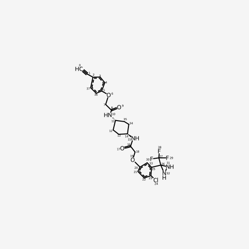 C#Cc1ccc(OCC(=O)N[C@H]2CC[C@H](NC(=O)COc3ccc(Cl)c(C4(C(F)(F)F)NN4)c3)CC2)cc1